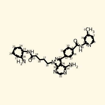 Cc1ccnc(NC(=O)c2ccc(-c3nn(CCCCC(=O)Nc4ccccc4N)c4ncnc(N)c34)cc2)c1